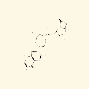 CCn1cc(C(=O)[O-])c(=O)c2cc(F)c(N3CCCN(C=N[C@]4(C(=O)[O-])N5C(=O)C[C@@H]5SC4(C)C)CC3)cc21.[Na+].[Na+]